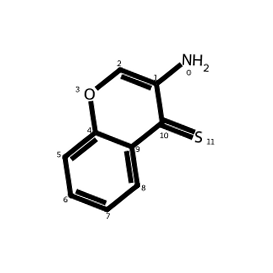 Nc1coc2ccccc2c1=S